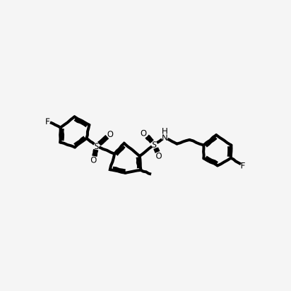 Cc1ccc(S(=O)(=O)c2ccc(F)cc2)cc1S(=O)(=O)NCCc1ccc(F)cc1